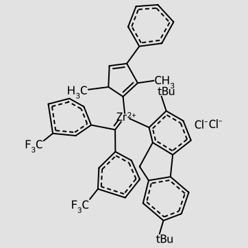 CC1=[C]([Zr+2](=[C](c2cccc(C(F)(F)F)c2)c2cccc(C(F)(F)F)c2)[c]2c(C(C)(C)C)ccc3c2Cc2cc(C(C)(C)C)ccc2-3)C(C)C=C1c1ccccc1.[Cl-].[Cl-]